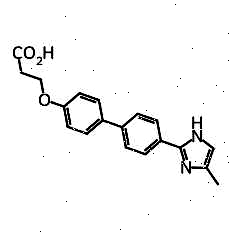 Cc1c[nH]c(-c2ccc(-c3ccc(OCCC(=O)O)cc3)cc2)n1